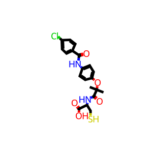 CC(C)(Oc1ccc(NC(=O)c2ccc(Cl)cc2)cc1)C(=O)NC(CS)C(=O)O